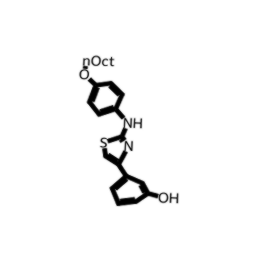 CCCCCCCCOc1ccc(Nc2nc(-c3cccc(O)c3)cs2)cc1